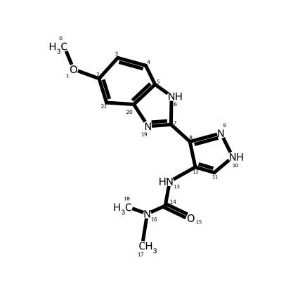 COc1ccc2[nH]c(-c3n[nH]cc3NC(=O)N(C)C)nc2c1